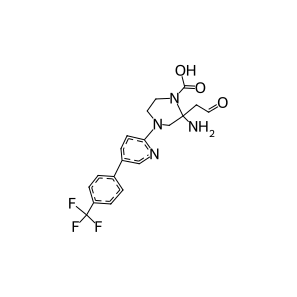 NC1(CC=O)CN(c2ccc(-c3ccc(C(F)(F)F)cc3)cn2)CCN1C(=O)O